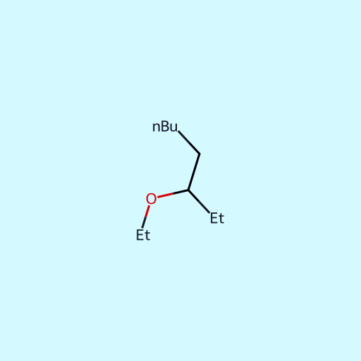 C[CH]CCCC(CC)OCC